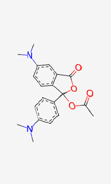 CC(=O)OC1(c2ccc(N(C)C)cc2)OC(=O)c2cc(N(C)C)ccc21